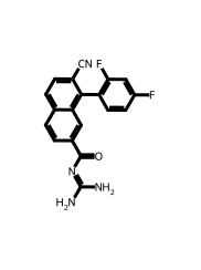 N#Cc1ccc2ccc(C(=O)N=C(N)N)cc2c1-c1ccc(F)cc1F